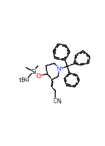 CC(C)(C)[Si](C)(C)OC1CCN(C(c2ccccc2)(c2ccccc2)c2ccccc2)C/C1=C\CC#N